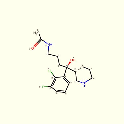 CC(=O)NCCC[C@@](O)(c1cccc(F)c1Cl)[C@@H]1CCCNC1